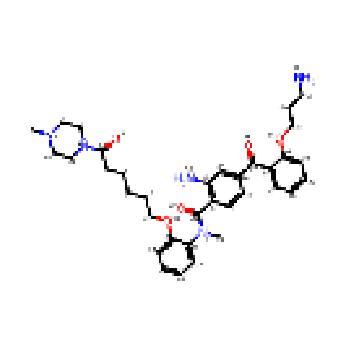 CN1CCN(C(=O)CCCCCOc2ccccc2N(C)C(=O)c2ccc(C(=O)c3ccccc3OCCCN)cc2N)CC1